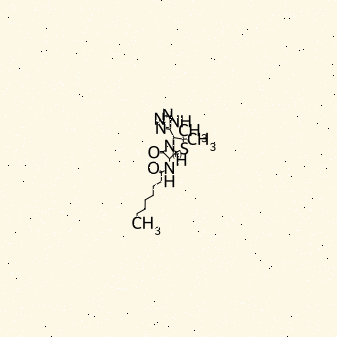 CCCCCCCC(=O)NC1C(=O)N2C(c3nnn[nH]3)C(C)(C)S[C@H]12